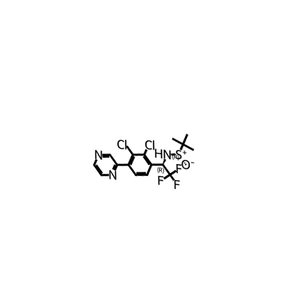 CC(C)(C)[S@+]([O-])N[C@H](c1ccc(-c2cnccn2)c(Cl)c1Cl)C(F)(F)F